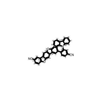 N#Cc1ccc(-c2ccc3oc4cc5c(cc4c3c2)oc2ccc(C#N)cc25)c(-n2c3ccccc3c3ccccc32)c1